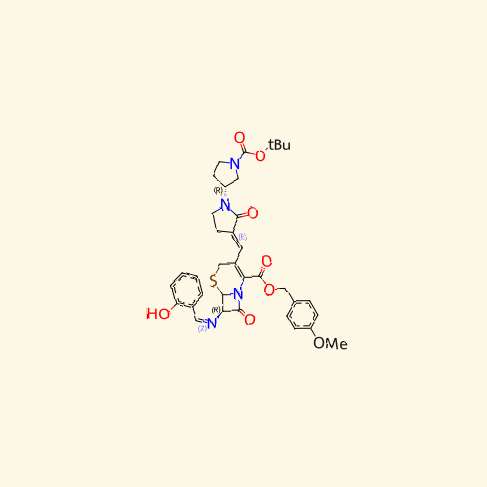 COc1ccc(COC(=O)C2=C(/C=C3\CCN([C@@H]4CCN(C(=O)OC(C)(C)C)C4)C3=O)CSC3[C@H](/N=C\c4ccccc4O)C(=O)N23)cc1